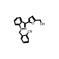 N#Cc1ccccc1Cn1nc(-c2ccc(CO)o2)c2ccccc21